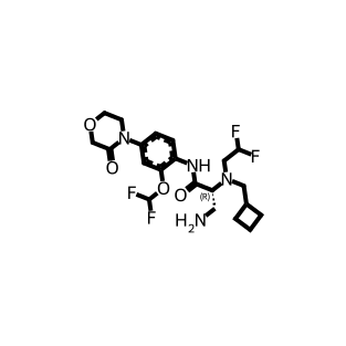 NC[C@H](C(=O)Nc1ccc(N2CCOCC2=O)cc1OC(F)F)N(CC(F)F)CC1CCC1